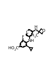 CC1(Nc2cccc(Nc3c(F)cc(C(=O)O)cc3C3CC3)c2)COC1